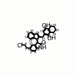 O=C1Nc2ccc(CCCl)cc2C1C1C(Cc2cc(O)c3c(c2O)CCCC3)=Cc2ccccc21